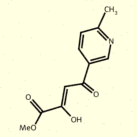 COC(=O)C(O)=CC(=O)c1ccc(C)nc1